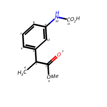 COC(=O)C(C)c1cccc(NC(=O)O)c1